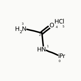 CC(C)NC(N)=O.Cl